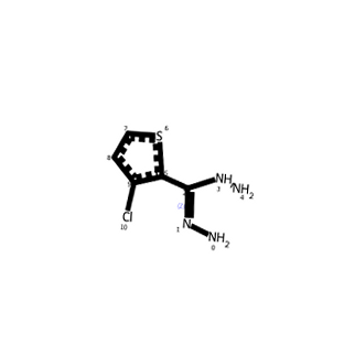 N/N=C(\NN)c1sccc1Cl